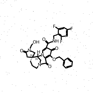 O=C(NCc1c(F)cc(F)cc1F)c1cn2c(c(OCc3ccccc3)c1=O)C(=O)N1CCC[C@@]3(CC(=O)N(CO)C3)[C@H]2C1